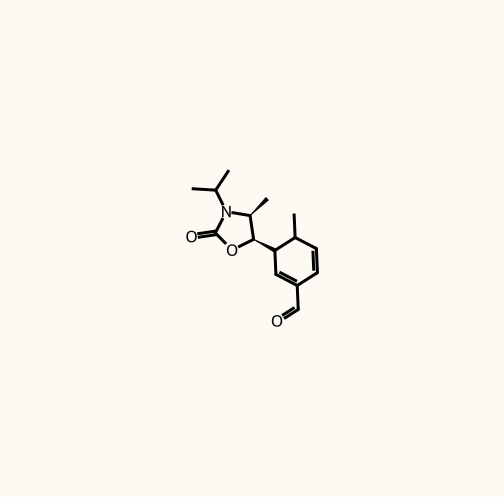 CC1C=CC(C=O)=CC1[C@H]1OC(=O)N(C(C)C)[C@H]1C